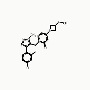 COC1CN(c2cnn(Cc3c(-c4ccc(Cl)cc4F)nnn3C)c(=O)c2)C1